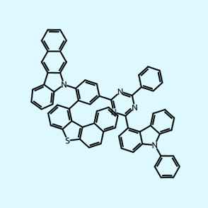 c1ccc(-c2nc(-c3ccc(-n4c5ccccc5c5cc6ccccc6cc54)c(-c4cccc5sc6ccc7ccccc7c6c45)c3)nc(-c3cccc4c3c3ccccc3n4-c3ccccc3)n2)cc1